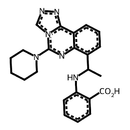 CC(Nc1ccccc1C(=O)O)c1cccc2c1nc(N1CCCCC1)n1cnnc21